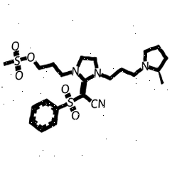 C[C@@H]1CCCN1CCCN1CCN(CCCOS(C)(=O)=O)/C1=C(/C#N)S(=O)(=O)c1ccccc1